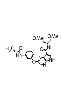 C=CC(=O)Nc1cccc(Oc2cnc3[nH]cc(C(=O)NC(COC)COC)c3n2)c1